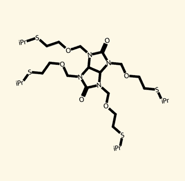 CC(C)SCCOCN1C(=O)N(COCCSC(C)C)C2C1N(COCCSC(C)C)C(=O)N2COCCSC(C)C